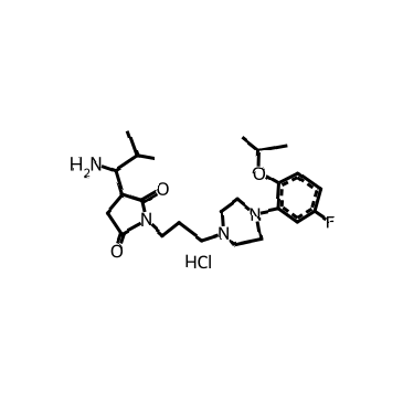 CC(C)Oc1ccc(F)cc1N1CCN(CCCN2C(=O)CC(C(N)C(C)C)C2=O)CC1.Cl